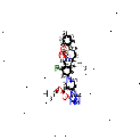 COC(=O)[C@@H]1CN(c2ccc(CN3C(C)CCC(c4ccccc4)S3(=O)=O)c(F)c2)CC[C@H]1n1cnnc1